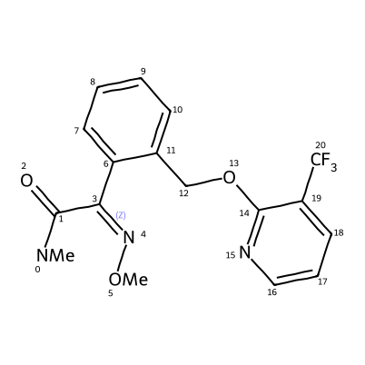 CNC(=O)/C(=N\OC)c1ccccc1COc1ncccc1C(F)(F)F